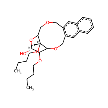 CCCCOC1C2OCc3cc4ccccc4cc3COCC(O[C@H]1O)[C@H]2OCCCC